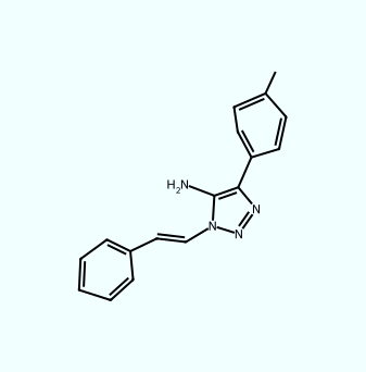 Cc1ccc(-c2nnn(C=Cc3ccccc3)c2N)cc1